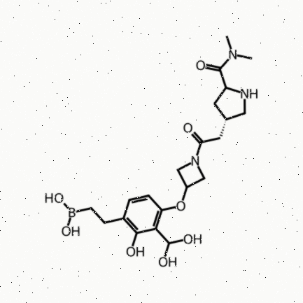 CN(C)C(=O)C1C[C@@H](CC(=O)N2CC(Oc3ccc(CCB(O)O)c(O)c3C(O)O)C2)CN1